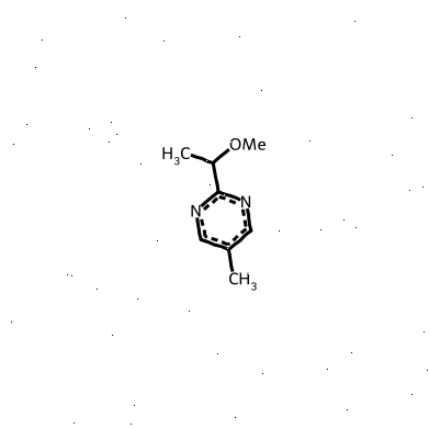 COC(C)c1ncc(C)cn1